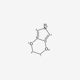 c1[nH]cc2c1OCCO2